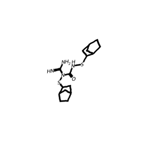 N=C(N)N(SC1CC2CCC1C2)C(=O)NSC1CC2CCC1C2